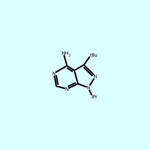 CC(C)n1nc(C(C)(C)C)c2c(N)ncnc21